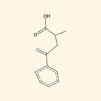 C=C(CC(C)C(=O)O)c1ccccc1